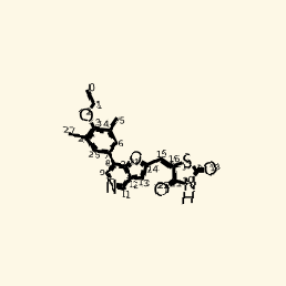 CCOc1c(C)cc(-c2cncc3cc(C=C4SC(=O)NC4=O)oc23)cc1C